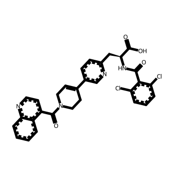 O=C(N[C@@H](Cc1ccc(C2=CCN(C(=O)c3ccnc4ccccc34)CC2)cn1)C(=O)O)c1c(Cl)cccc1Cl